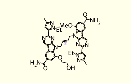 CCn1nc(C)cc1-c1ncc2c3cc(C(N)=O)cc(OC)c3n(C/C=C/Cn3c4nc(-c5cc(C)nn5CC)ncc4c4cc(C(N)=O)cc(OCCO)c43)c2n1